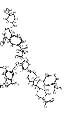 CCOc1nc2[nH]cc(F)c2cc1Oc1cc(N2CCC3(CC2)CC(N2CCN(C(C)=O)C[C@H]2c2ccccc2C(C)C)C3)ccc1C(=O)NS(=O)(=O)c1cnc(NCC2CCC(C)(O)CC2)c([N+](=O)[O-])c1